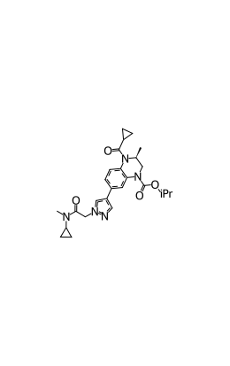 CC(C)OC(=O)N1C[C@H](C)N(C(=O)C2CC2)c2ccc(-c3cnn(CC(=O)N(C)C4CC4)c3)cc21